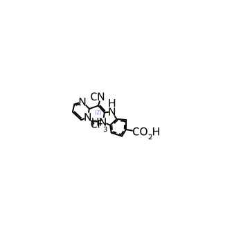 N#C/C(=C1/Nc2ccc(C(=O)O)cc2N1)C1N=CC=CN1C(F)(F)F